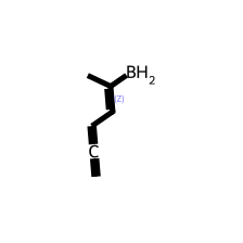 B/C(C)=C/C=C=C